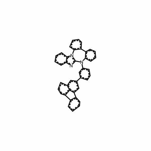 c1cc(-c2cc3c4c(cccc4c2)-c2ccccc2-3)cc(N2c3ccccc3-c3ccccc3-n3c2nc2ccccc23)c1